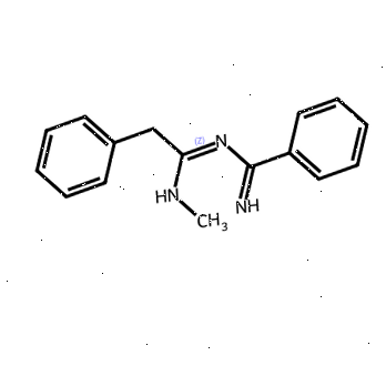 CN/C(Cc1ccccc1)=N\C(=N)c1ccccc1